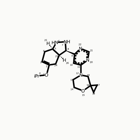 CC(C)OC1=CC[C@H]2NN[C@@H](c3cc(N4CCOC5(CC5)C4)ncn3)[C@H]2C1